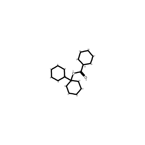 O=C(OC1(C2CCCCC2)CCCCC1)C1CCCCC1